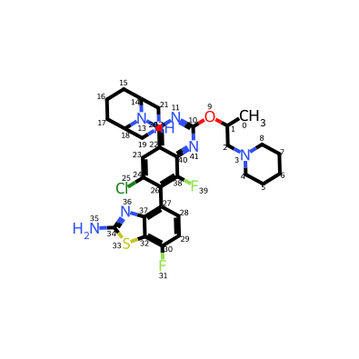 CC(CN1CCCCC1)Oc1nc(N2C3CCCC2CNC3)c2cc(Cl)c(-c3ccc(F)c4sc(N)nc34)c(F)c2n1